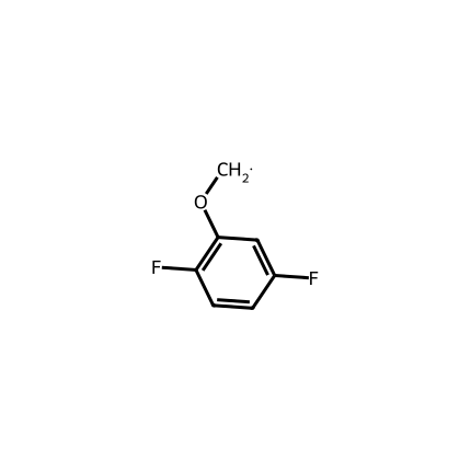 [CH2]Oc1cc(F)ccc1F